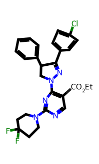 CCOC(=O)c1cnc(N2CCC(F)(F)CC2)nc1N1CC(c2ccccc2)C(c2ccc(Cl)cc2)=N1